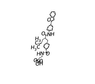 CC(C)=CCC(Cc1ccc(C(=O)NCCS(=O)(=O)O)cc1)C(=O)Nc1ccc(-c2cc3ccccc3o2)cc1